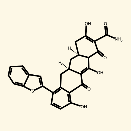 NC(=O)C1=C(O)C[C@@H]2C[C@@H]3Cc4c(-c5cc6ccccc6s5)ccc(O)c4C(=O)C3=C(O)C2C1=O